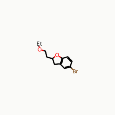 CCOCCC1Cc2cc(Br)ccc2O1